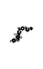 O=C(C1CCC(Oc2cccc(N3CCC3)n2)CC1)N1CCC(O)(Cn2cnc3c(cnn3-c3ccc(F)cc3)c2=O)CC1